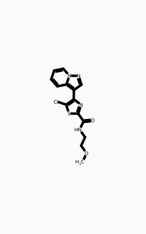 COCCNC(=O)c1nc(-c2cnn3ccccc23)c(Cl)s1